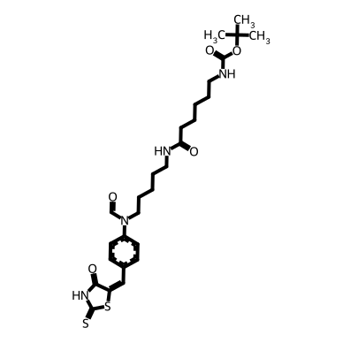 CC(C)(C)OC(=O)NCCCCCC(=O)NCCCCCN(C=O)c1ccc(C=C2SC(=S)NC2=O)cc1